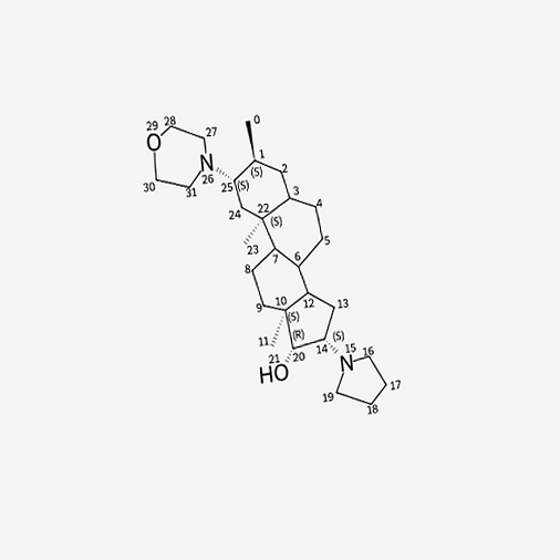 C[C@H]1CC2CCC3C(CC[C@@]4(C)C3C[C@H](N3CCCC3)[C@@H]4O)[C@@]2(C)C[C@@H]1N1CCOCC1